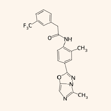 Cc1cc(-c2nn3c(C)ncc3o2)ccc1NC(=O)Cc1cccc(C(F)(F)F)c1